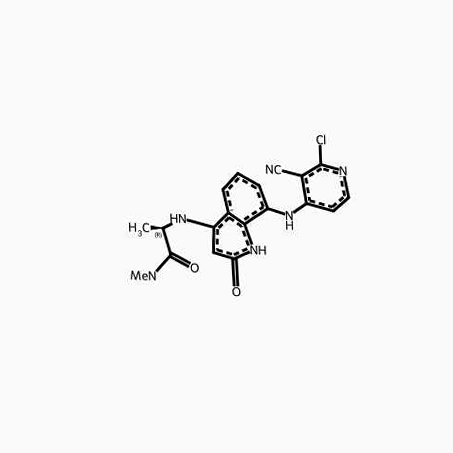 CNC(=O)[C@@H](C)Nc1cc(=O)[nH]c2c(Nc3ccnc(Cl)c3C#N)cccc12